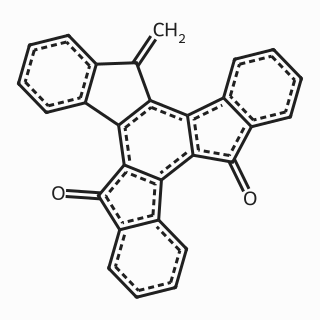 C=C1c2ccccc2-c2c1c1c3ccccc3c(=O)c1c1c2c(=O)c2ccccc21